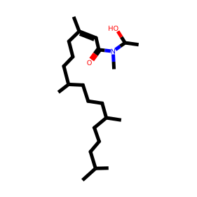 CC(=CC(=O)N(C)C(C)O)CCCC(C)CCCC(C)CCCC(C)C